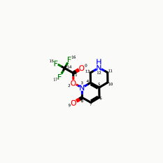 O=C(On1c2c(ccc1=O)CCNC2)C(F)(F)F